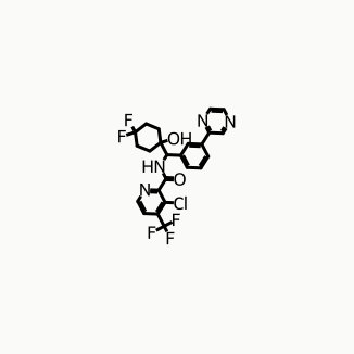 O=C(NC(c1cccc(-c2cnccn2)c1)C1(O)CCC(F)(F)CC1)c1nccc(C(F)(F)F)c1Cl